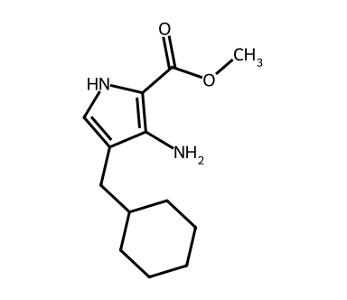 COC(=O)c1[nH]cc(CC2CCCCC2)c1N